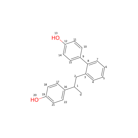 CC(Cc1ccccc1-c1ccc(O)cc1)c1ccc(O)cc1